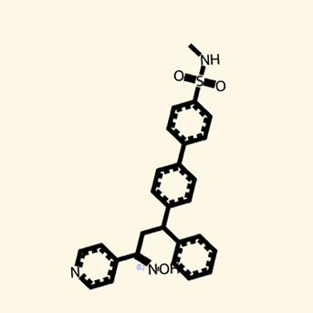 CNS(=O)(=O)c1ccc(-c2ccc(C(C/C(=N\O)c3ccncc3)c3ccccc3)cc2)cc1